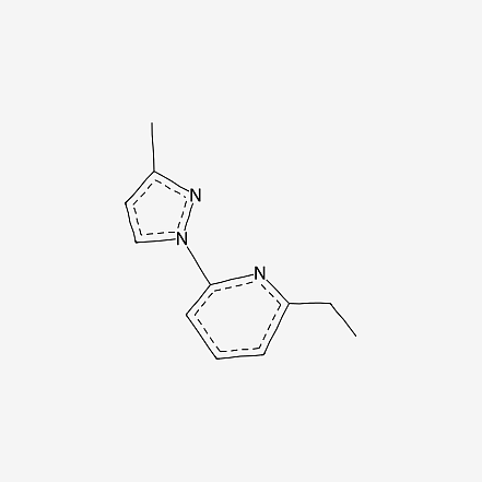 CCc1cccc(-n2ccc(C)n2)n1